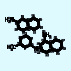 Cc1cccc(N)c1.Nc1ccc2ccccc2c1.Nc1cccc2ccccc12